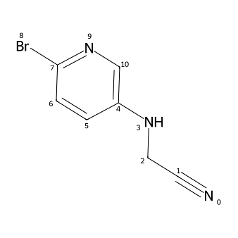 N#CCNc1ccc(Br)nc1